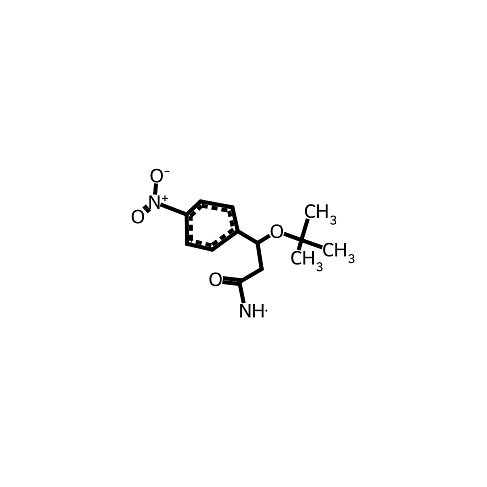 CC(C)(C)OC(CC([NH])=O)c1ccc([N+](=O)[O-])cc1